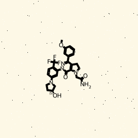 COc1cccc(-c2nn(-c3cc(N4CC[C@H](O)C4)ccc3C(F)(F)F)c(=O)c3c2CCN3CC(N)=O)c1